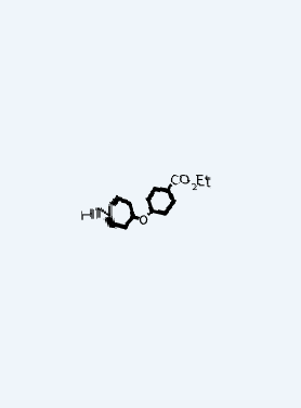 CCOC(=O)[C@H]1CC[C@@H](OC2CCNCC2)CC1